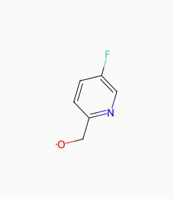 [O]Cc1ccc(F)cn1